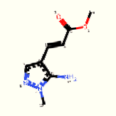 COC(=O)C=Cc1cnn(C)c1N